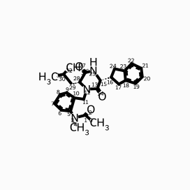 CC(=O)N(C)c1ccccc1CN1C(=O)[C@@H](C2Cc3ccccc3C2)NC(=O)[C@H]1CC(C)C